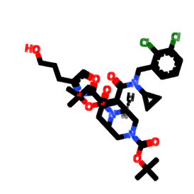 CC(C)(C)OC(=O)N1CC2CC(c3nc(CCCO)co3)=C(C(=O)N(Cc3cccc(Cl)c3Cl)C3CC3)[C@@H](C1)N2C(=O)OC(C)(C)C